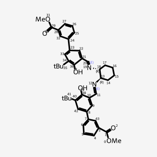 COC(=O)c1cccc(-c2cc(/C=N/[C@@H]3CCCC[C@H]3/N=C/c3cc(-c4cccc(C(=O)OC)c4)cc(C(C)(C)C)c3O)c(O)c(C(C)(C)C)c2)c1